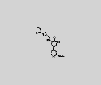 C=CC(=O)N1CC(CNc2cc(-c3ccnc(NC)n3)c[nH]c2=O)C1